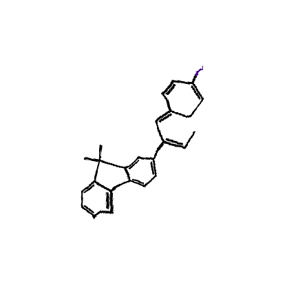 C/C=C(\C=C1\C=CC(I)=CC1)c1ccc2c(c1)C(C)(C)c1ccccc1-2